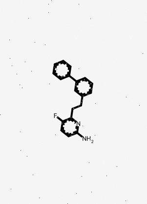 Nc1ccc(F)c(CCc2cccc(-c3ccccc3)c2)n1